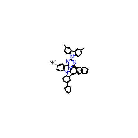 Cc1ccc2c(c1)c1cc(C)ccc1n2-c1nc(-c2ccccc2)nc(-c2cc(C#N)ccc2-n2c3ccc(-c4ccccc4)cc3c3cc(-c4ccccc4)ccc32)n1